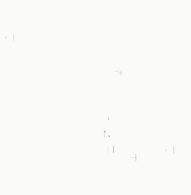 CCCCCCCCCC[N+](C)(C)Cc1ccccc1C(C)O.[Br-]